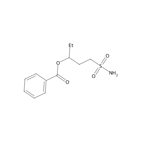 CCC(CCS(N)(=O)=O)OC(=O)c1ccccc1